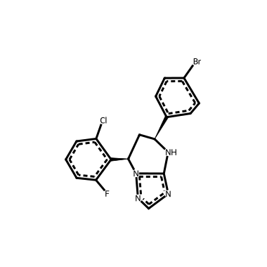 Fc1cccc(Cl)c1[C@H]1C[C@@H](c2ccc(Br)cc2)Nc2ncnn21